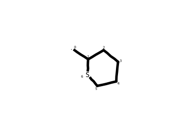 [CH2]C1CCCCS1